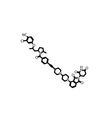 CC(CC1CCC(C)N1C(=O)c1ccc(C#CC2CCN(C3CCN(c4cccc5c4C(=O)N(C4CCC(=O)NC4=O)C5=O)CC3)CC2)cc1)Oc1ccc(C#N)c(Cl)c1